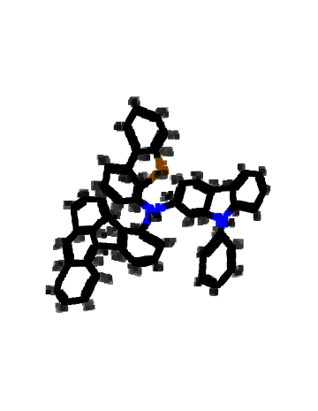 c1ccc(-n2c3ccccc3c3ccc(N(c4cccc5c4-c4cccc6cc7ccccc7c-5c46)c4cccc5c4sc4ccccc45)cc32)cc1